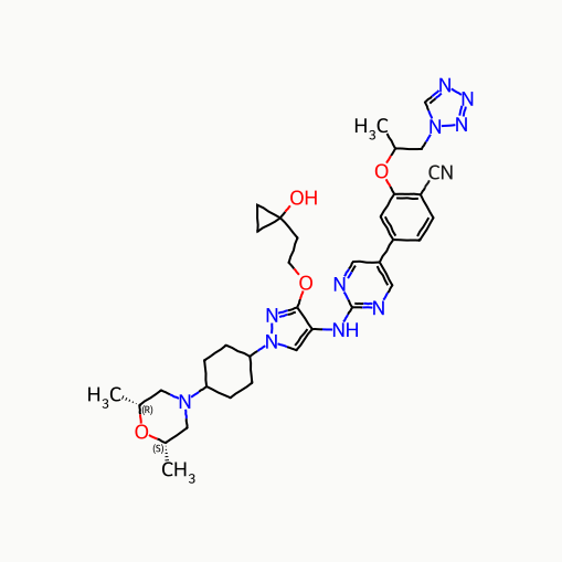 CC(Cn1cnnn1)Oc1cc(-c2cnc(Nc3cn(C4CCC(N5C[C@@H](C)O[C@@H](C)C5)CC4)nc3OCCC3(O)CC3)nc2)ccc1C#N